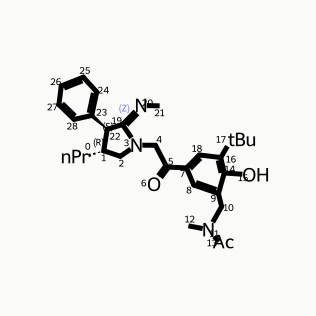 CCC[C@H]1CN(CC(=O)c2cc(CN(C)C(C)=O)c(O)c(C(C)(C)C)c2)/C(=N\C)[C@@H]1c1ccccc1